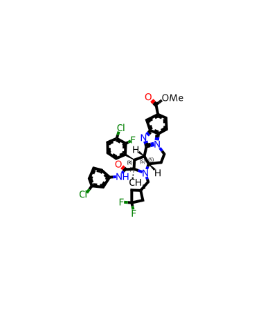 COC(=O)c1ccc2c(c1)nc1n2CC[C@H]2[C@@H]1[C@H](c1cccc(Cl)c1F)[C@](C)(C(=O)Nc1cccc(Cl)c1)N2CC1CC(F)(F)C1